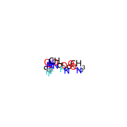 COc1cc2c(Oc3ccc(NC(=O)c4nn(-c5ccccc5OC(F)(F)F)c(=O)n4C)cc3F)ccnc2cc1OCCCN1CCCC1